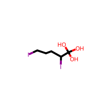 OC(O)(O)C(I)CCCI